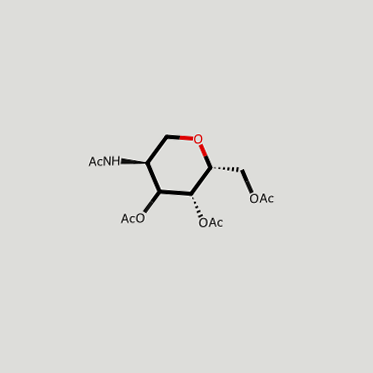 CC(=O)N[C@H]1CO[C@H](COC(C)=O)[C@H](OC(C)=O)C1OC(C)=O